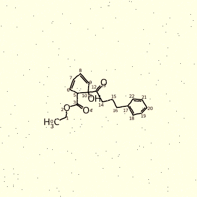 CCOC(=O)C1C=CC=CC1(O)C(=O)CCCc1ccccc1